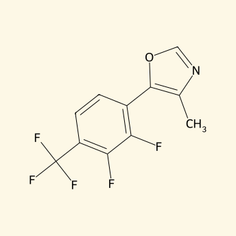 Cc1ncoc1-c1ccc(C(F)(F)F)c(F)c1F